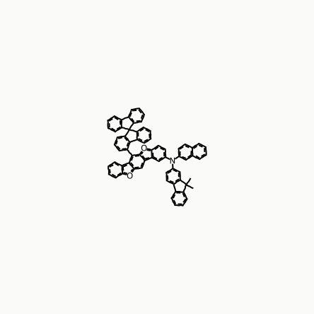 CC1(C)c2ccccc2-c2ccc(N(c3ccc4ccccc4c3)c3ccc4oc5c(-c6cccc7c6-c6ccccc6C76c7ccccc7-c7ccccc76)c6c(cc5c4c3)oc3ccccc36)cc21